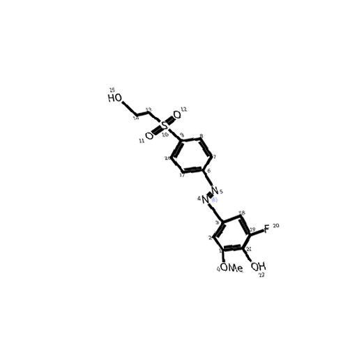 COc1cc(/N=N/c2ccc(S(=O)(=O)CCO)cc2)cc(F)c1O